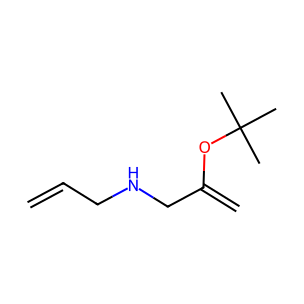 C=CCNCC(=C)OC(C)(C)C